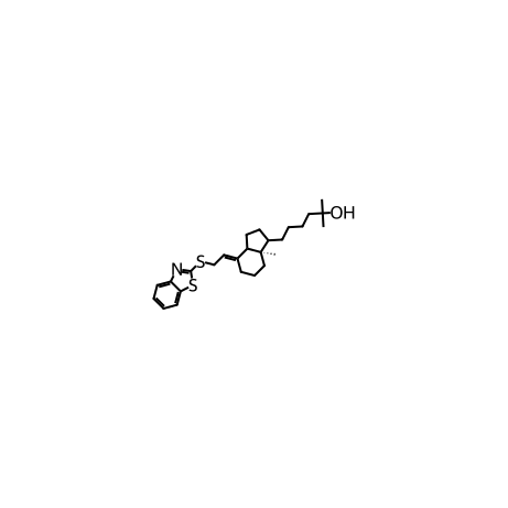 CC(C)(O)CCCCC1CCC2/C(=C/CSc3nc4ccccc4s3)CCC[C@]12C